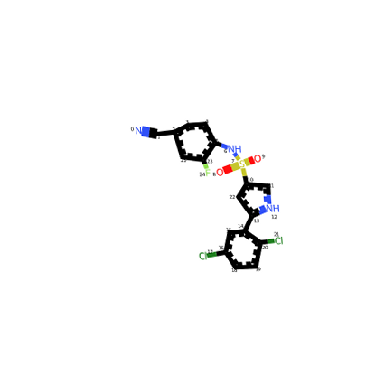 N#Cc1ccc(NS(=O)(=O)c2c[nH]c(-c3cc(Cl)ccc3Cl)c2)c(F)c1